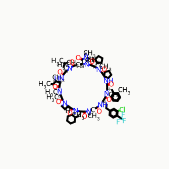 CC[C@H](C)[C@@H]1NC(=O)[C@H](CC(C)C)N(C)C(=O)C[C@@H](C(=O)N(C)C)N(C)C(=O)[C@H](C2CCCC2)N(C)C(=O)C2(CCCC2)NC(=O)[C@H](Cc2ccccc2C)N(C)C(=O)[C@H](CCc2ccc(C(F)(F)F)c(Cl)c2)NC(=O)CN(C)C(=O)[C@H](CC2CCCCC2)N(C)C(=O)[C@@H]2CCN2C(=O)[C@H](C)N(C)C1=O